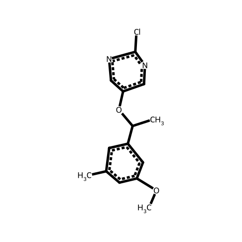 COc1cc(C)cc(C(C)Oc2cnc(Cl)nc2)c1